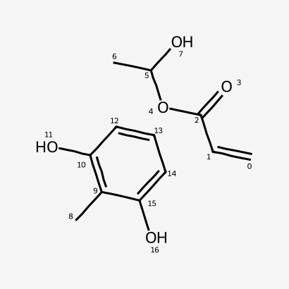 C=CC(=O)OC(C)O.Cc1c(O)cccc1O